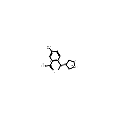 CC(c1ccc(Cl)cc1C(=O)O)C1CCNC1